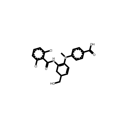 CN(C1=C(NC(=O)c2c(Cl)cccc2Cl)CC(CO)C=C1)c1ccc(C(=O)O)cc1